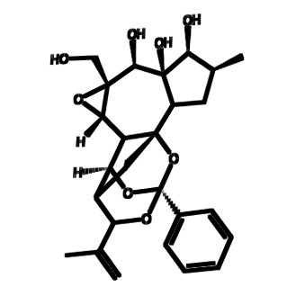 C=C(C)C1O[C@@]2(c3ccccc3)O[C@H]3C1CC[C@@]1(O2)C3[C@@H]2O[C@]2(CO)[C@@H](O)[C@@]2(O)C1C[C@H](C)[C@@H]2O